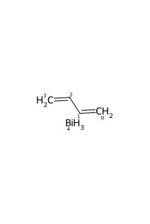 C=CC=C.[BiH3]